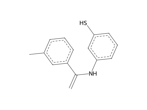 C=C(Nc1cccc(S)c1)c1cccc(C)c1